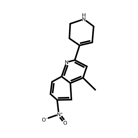 Cc1cc(C2=CCNCC2)nc2ccc([N+](=O)[O-])cc12